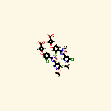 CC(C)Oc1ncc(-c2nc(-c3ccc(OC4CC(C(=O)[O-])C4)cc3Cl)no2)cc1Cl.CC(C)Oc1ncc(-c2nc(-c3ccc(OC4CC(C(=O)[O-])C4)cc3Cl)no2)cc1Cl.[Mg+2]